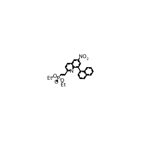 CCOP(=O)(/C=C/c1ccc2cc([N+](=O)[O-])cc(-c3cccc4ccccc34)c2n1)OCC